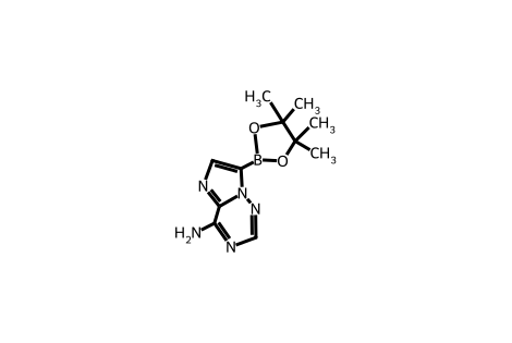 CC1(C)OB(c2cnc3c(N)ncnn23)OC1(C)C